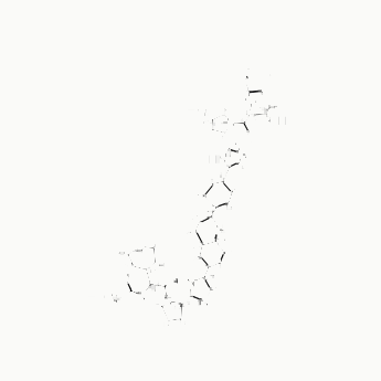 COC(=O)N[C@H](C(=O)N1C[C@H](O)C[C@H]1c1ncc(-c2ccc(-c3ccc4cc(-c5cnc([C@@H]6CCCN6C(=O)[C@@H](NC(=O)OC)C6CCOCC6)[nH]5)ccc4n3)cc2)[nH]1)C(C)C